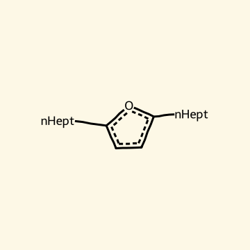 CCCCCCCc1ccc(CCCCCCC)o1